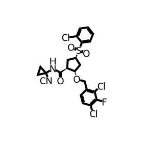 N#CC1(NC(=O)[C@H]2C[C@H](S(=O)(=O)c3ccccc3Cl)C[C@@H]2OCc2ccc(Cl)c(F)c2Cl)CC1